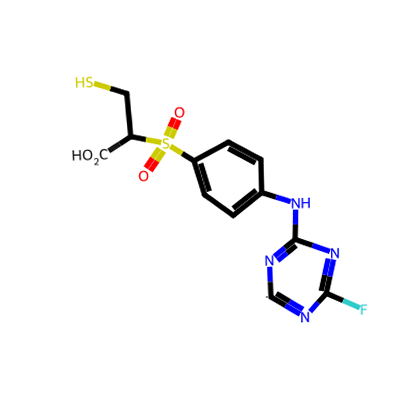 O=C(O)C(CS)S(=O)(=O)c1ccc(Nc2n[c]nc(F)n2)cc1